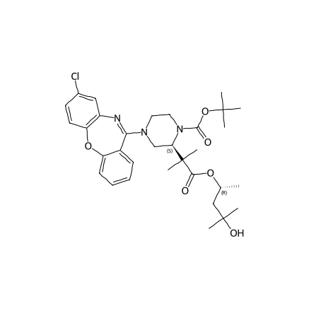 C[C@H](CC(C)(C)O)OC(=O)C(C)(C)[C@H]1CN(C2=Nc3cc(Cl)ccc3Oc3ccccc32)CCN1C(=O)OC(C)(C)C